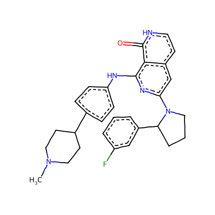 CN1CCC(c2ccc(Nc3nc(N4CCCC4c4cccc(F)c4)cc4cc[nH]c(=O)c34)cc2)CC1